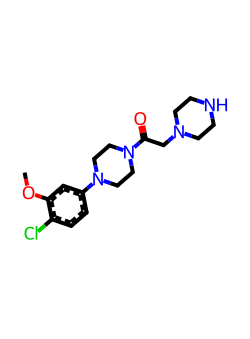 COc1cc(N2CCN(C(=O)CN3CCNCC3)CC2)ccc1Cl